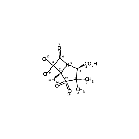 CC1(C)[C@H](C(=O)O)N2C(=O)C(Cl)(Cl)[C@H]2S1(=O)=O